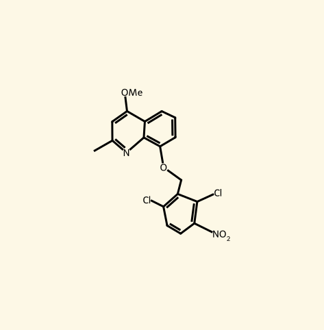 COc1cc(C)nc2c(OCc3c(Cl)ccc([N+](=O)[O-])c3Cl)cccc12